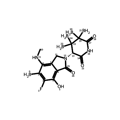 Bc1c(F)c(O)c2c(c1NC)CN([C@H]1C(=O)NC(=O)C(B)(B)C1(B)B)C2=O